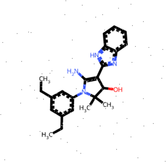 CCc1cc(CC)cc(N2C(N)=C(c3nc4ccccc4[nH]3)C(O)C2(C)C)c1